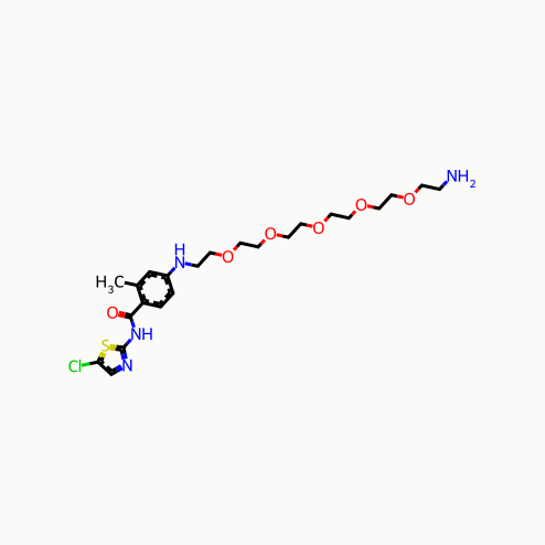 Cc1cc(NCCOCCOCCOCCOCCOCCN)ccc1C(=O)Nc1ncc(Cl)s1